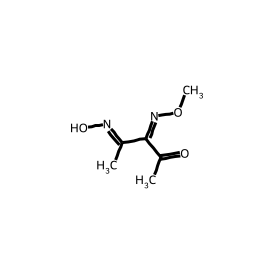 CON=C(C(C)=O)C(C)=NO